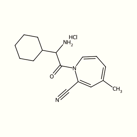 CC1=CC=CN(C(=O)C(N)C2CCCCC2)C(C#N)=C1.Cl